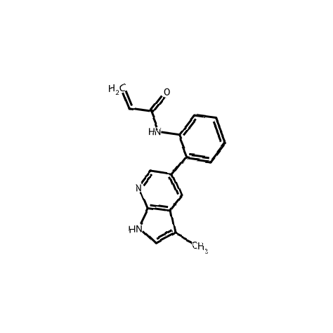 C=CC(=O)Nc1ccccc1-c1cnc2[nH]cc(C)c2c1